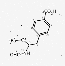 CC(C)(C)OC(Cc1ccc(C(=O)O)cc1)NC=O